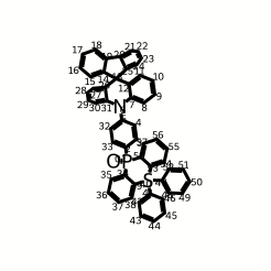 O=P1(c2ccc(N3c4ccccc4C4(c5ccccc5-c5ccccc54)c4ccccc43)cc2)c2ccccc2S(c2ccccc2)(c2ccccc2)c2ccccc21